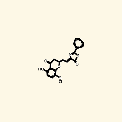 O=C1SC(c2ccccc2)=NC1=CCC1CC(=O)c2c(O)ccc(SCl)c2O1